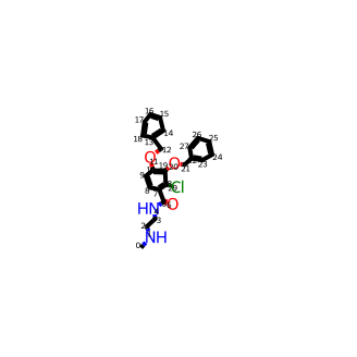 CNCCNC(=O)c1ccc(OCc2ccccc2)c(OCc2ccccc2)c1Cl